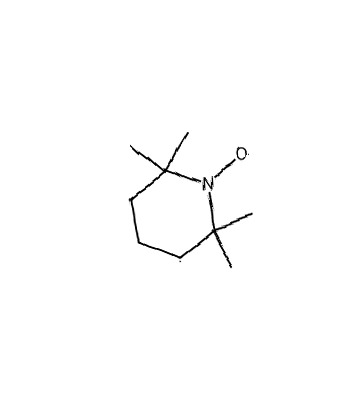 CC1(C)[CH]CCC(C)(C)N1[O]